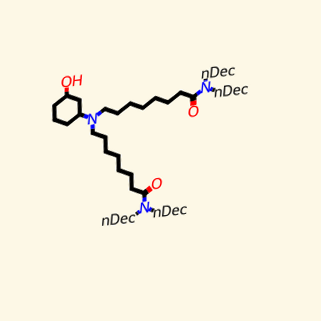 CCCCCCCCCCN(CCCCCCCCCC)C(=O)CCCCCCCN(CCCCCCCC(=O)N(CCCCCCCCCC)CCCCCCCCCC)C1CCCC(O)C1